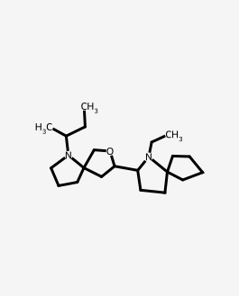 CCC(C)N1CCCC12COC(C1CCC3(CCCC3)N1CC)C2